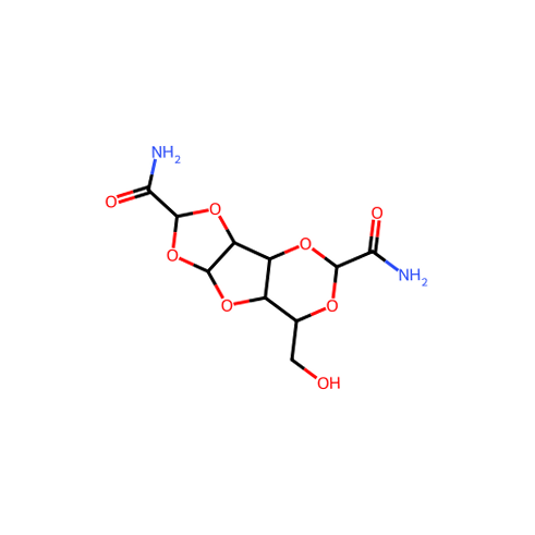 NC(=O)C1OC2OC3C(CO)OC(C(N)=O)OC3C2O1